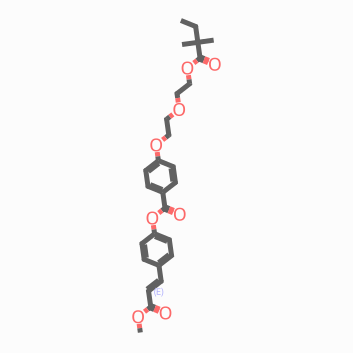 CCC(C)(C)C(=O)OCCOCCOc1ccc(C(=O)Oc2ccc(/C=C/C(=O)OC)cc2)cc1